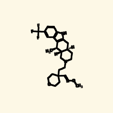 CON=CC1(CCN2CC[C@@H]3Cc4[nH]c5ccc(C(F)(F)F)cc5c4[C@H](C)[C@H]3C2)CCOCC1